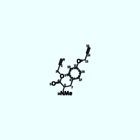 C#CCOC(=O)C(Cc1ccc(OCC#C)cc1)NC